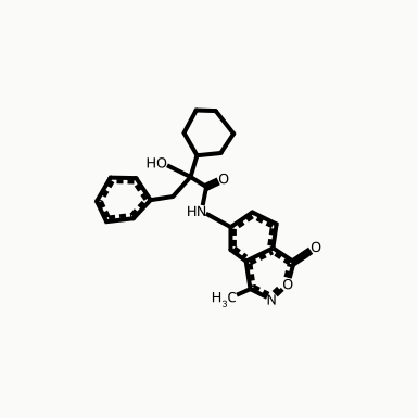 Cc1noc(=O)c2ccc(NC(=O)C(O)(Cc3ccccc3)C3CCCCC3)cc12